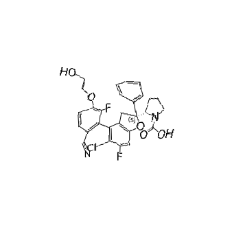 N#Cc1ccc(OCCO)c(F)c1-c1c(Cl)c(F)cc2c1C[C@](c1ccccc1)(C1CCCN1C(=O)O)O2